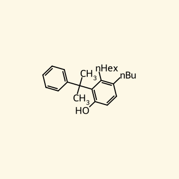 CCCCCCc1c(CCCC)ccc(O)c1C(C)(C)c1ccccc1